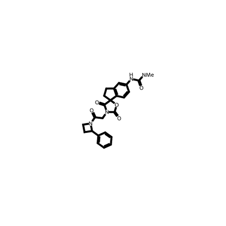 CNC(=O)Nc1ccc2c(c1)CCC21OC(=O)N(CC(=O)N2CCC2c2ccccc2)C1=O